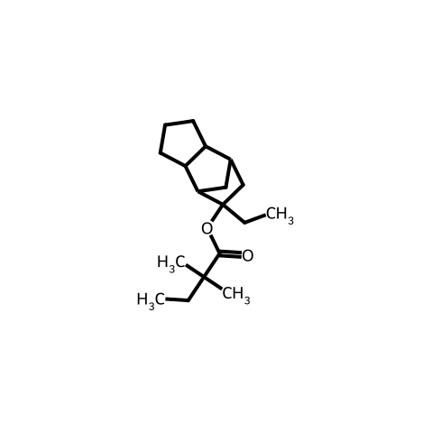 CCC(C)(C)C(=O)OC1(CC)CC2CC1C1CCCC21